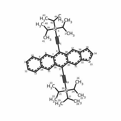 CC(C)[Si](C#Cc1c2cc3ccccc3cc2c(C#C[Si](C(C)C)(C(C)C)C(C)C)c2cc3sccc3cc12)(C(C)C)C(C)C